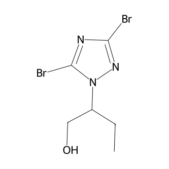 CCC(CO)n1nc(Br)nc1Br